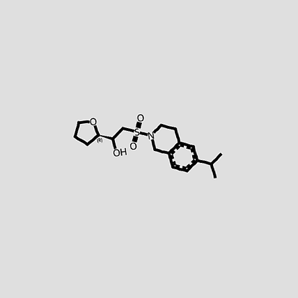 CC(C)c1ccc2c(c1)CCN(S(=O)(=O)CC(O)[C@H]1CCCO1)C2